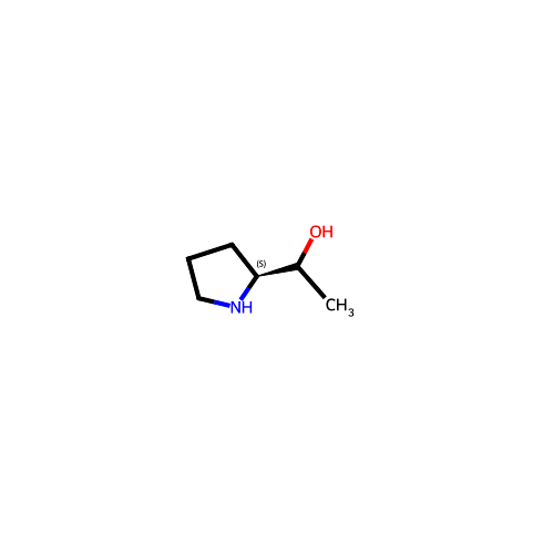 CC(O)[C@@H]1CCCN1